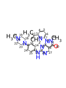 C=C(C)c1cccc(-n2c3nc(Nc4ccc(N5CCN(C)CC5)cc4)ncc3c(=O)n2C)n1